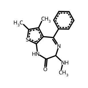 CNC1N=C(c2ccccc2)c2c(sc(C)c2C)NC1=O